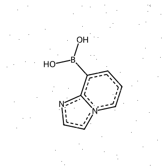 OB(O)c1cccn2ccnc12